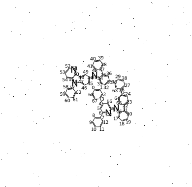 c1ccc(-c2cc(-c3ccccc3)nc(-n3c4ccccc4c4ccc(-c5cccc(-c6ccc7c(c6)c6ccccc6n7-c6ccc7c(c6)c6ncccc6n7-c6ccccc6)c5)cc43)c2)cc1